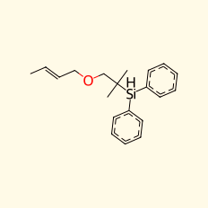 CC=CCOCC(C)(C)[SiH](c1ccccc1)c1ccccc1